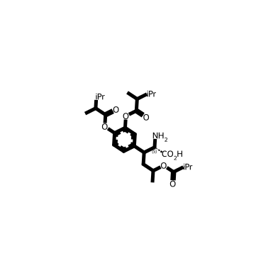 CC(CC(c1ccc(OC(=O)C(C)C(C)C)c(OC(=O)C(C)C(C)C)c1)[C@H](N)C(=O)O)OC(=O)C(C)C